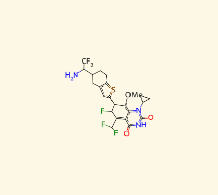 COC1=c2c(c(=O)[nH]c(=O)n2C2CC2)=C(C(F)F)C(F)C1c1cc2c(s1)CCC(C(N)C(F)(F)F)C2